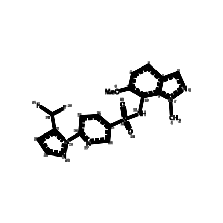 COc1ccc2cnn(C)c2c1NS(=O)(=O)c1ccc(-n2nccc2C(F)F)nc1